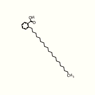 CCCCCCCCCCCCCCCCCCCCc1ccccc1C(=O)O